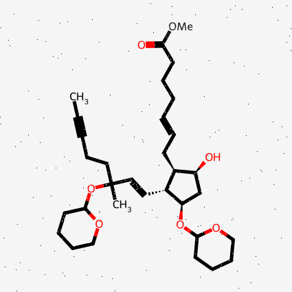 CC#CCCC(C)(C=C[C@@H]1[C@@H](CC=CCCCC(=O)OC)[C@@H](O)C[C@H]1OC1CCCCO1)OC1CCCCO1